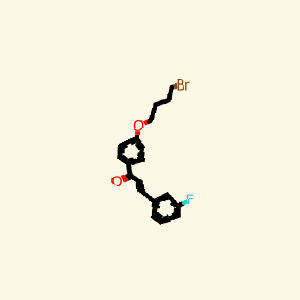 O=C(C=Cc1cccc(F)c1)c1ccc(OCCCCBr)cc1